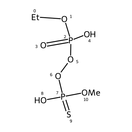 CCOP(=O)(O)OOP(O)(=S)OC